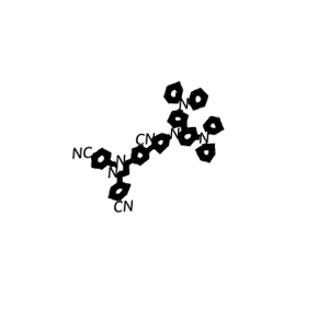 N#Cc1ccc(-c2cc(-c3ccc(-c4ccc(-n5c6ccc(N(c7ccccc7)c7ccccc7)cc6c6cc(N(c7ccccc7)c7ccccc7)ccc65)cc4)c(C#N)c3)nc(-c3ccc(C#N)cc3)n2)cc1